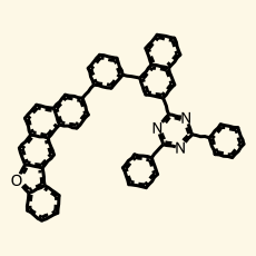 c1ccc(-c2nc(-c3ccccc3)nc(-c3cc(-c4cccc(-c5ccc6c(ccc7cc8oc9ccccc9c8cc76)c5)c4)c4ccccc4c3)n2)cc1